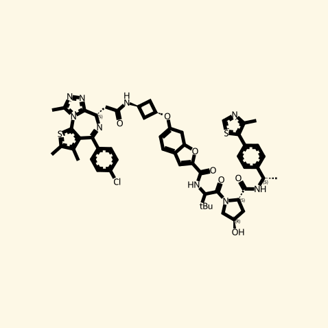 Cc1ncsc1-c1ccc([C@H](C)NC(=O)[C@@H]2C[C@@H](O)CN2C(=O)C(NC(=O)C2=CC3=CC=C(O[C@H]4C[C@H](NC(=O)C[C@@H]5N=C(c6ccc(Cl)cc6)c6c(sc(C)c6C)-n6c(C)nnc65)C4)CC3O2)C(C)(C)C)cc1